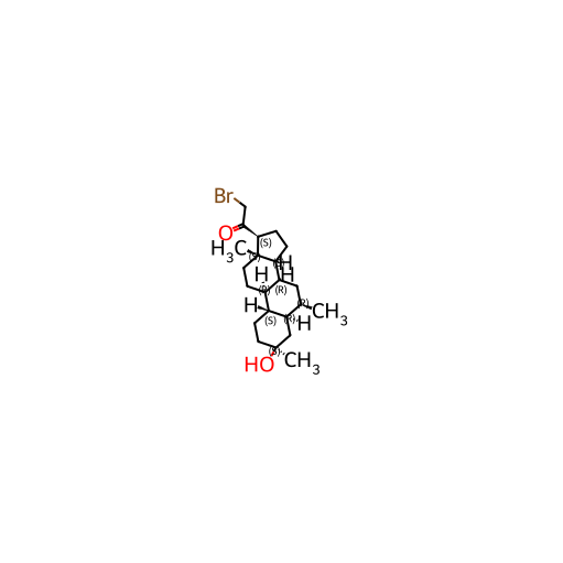 C[C@@H]1C[C@@H]2[C@H](CC[C@]3(C)[C@@H](C(=O)CBr)CC[C@@H]23)[C@H]2CC[C@](C)(O)C[C@@H]21